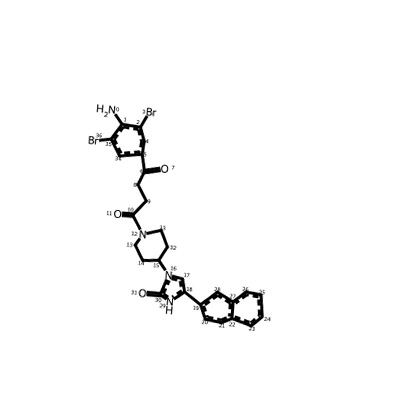 Nc1c(Br)cc(C(=O)CCC(=O)N2CCC(n3cc(-c4ccc5ccccc5c4)[nH]c3=O)CC2)cc1Br